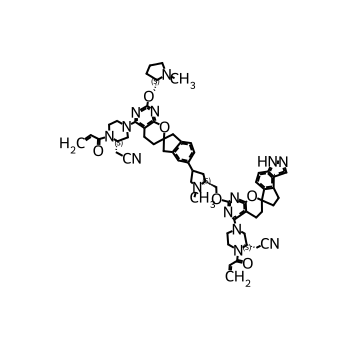 C=CC(=O)N1CCN(c2nc(OC[C@@H]3CCCN3C)nc3c2CCC2(Cc4ccc(C5C[C@@H](COc6nc7c(c(N8CCN(C(=O)C=C)[C@@H](CC#N)C8)n6)CCC6(CCc8c6ccc6[nH]ncc86)O7)N(C)C5)cc4C2)O3)C[C@@H]1CC#N